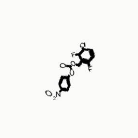 O=C(OCc1c(F)ccc(Cl)c1F)Oc1ccc([N+](=O)[O-])cc1